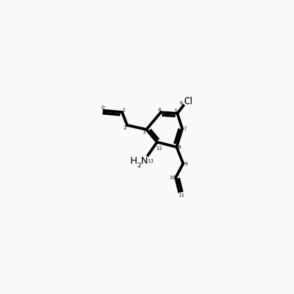 C=CCc1cc(Cl)cc(CC=C)c1N